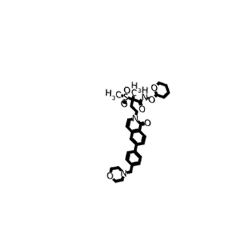 CC(CCn1ccc2cc(-c3ccc(CN4CCOCC4)cc3)ccc2c1=O)(C(=O)NOC1CCCCO1)S(C)(=O)=O